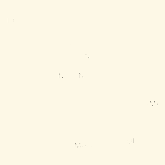 COc1cc(-n2nc3ccc(C)cc3n2)cc(OC)c1O